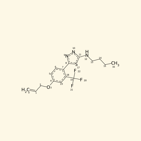 C=CCOc1ccc(-c2nnc(NCCCC)s2)c(C(F)(F)F)c1